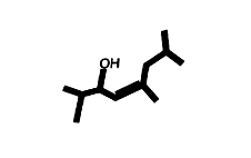 CC(=CC(O)C(C)C)CC(C)C